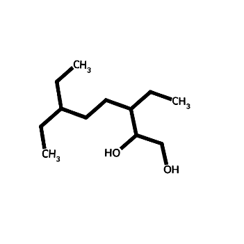 CCC(CC)CCC(CC)C(O)CO